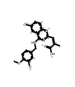 COc1ccc(CNc2nc(/C=C(/C)C(=O)O)nc3ccc(Cl)cc23)cc1Cl